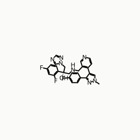 Cn1cc(-c2ccncc2CNC[C@](O)(Cn2cncn2)c2ccc(F)cc2F)c(-c2ccc(F)cc2)n1